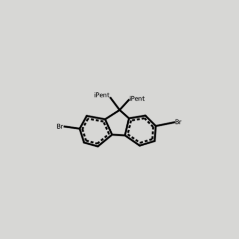 CCCC(C)C1(C(C)CCC)c2cc(Br)ccc2-c2ccc(Br)cc21